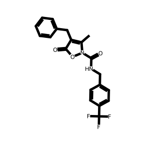 Cc1c(Cc2ccccc2)c(=O)on1C(=O)NCc1ccc(C(F)(F)F)cc1